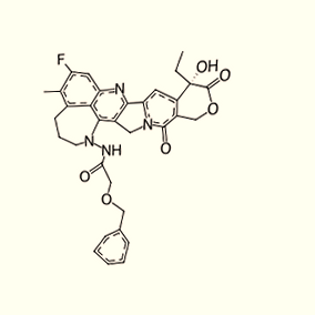 CC[C@@]1(O)C(=O)OCc2c1cc1n(c2=O)Cc2c-1nc1cc(F)c(C)c3c1c2N(NC(=O)COCc1ccccc1)CCC3